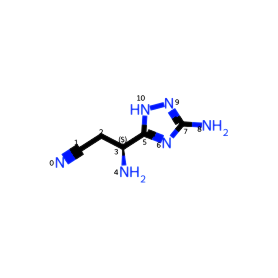 N#CC[C@H](N)c1nc(N)n[nH]1